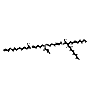 CCCCCCCCCCCC(=O)OCCCCCN(CCO)CCCCCCCOC(=O)C(CCCCCCCC)CCCCCCCC